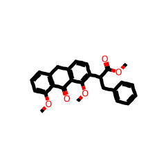 COC(=O)C(Cc1ccccc1)c1ccc2c(c1OC)C(=O)c1c(cccc1OC)C2